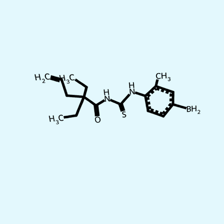 Bc1ccc(NC(=S)NC(=O)C(CC)(CC)CC=C)c(C)c1